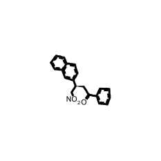 O=C(C[C@@H](C[N+](=O)[O-])c1ccc2ccccc2c1)c1ccccc1